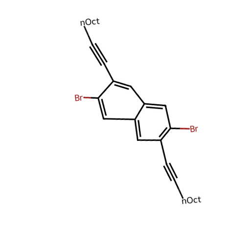 CCCCCCCCC#Cc1cc2cc(Br)c(C#CCCCCCCCC)cc2cc1Br